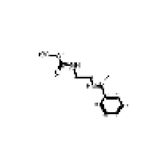 C[C@@H](NCCNC(=O)OC(C)(C)C)c1ccccc1